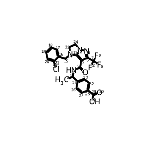 CC(NC(=O)c1c(C(F)(F)F)nn2c1N(Cc1ccccc1Cl)CC2)c1ccc(C(=O)O)cc1